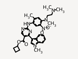 Cc1cc(N(C)CCN(C)C)c([N+](=O)[O-])cc1Nc1ncc(C(=O)OC2CCC2)c(-c2cn(C)c3ccccc23)n1